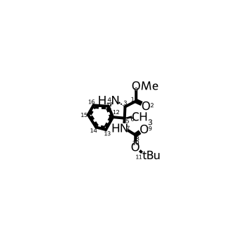 COC(=O)[C@@H](N)[C@](C)(NC(=O)OC(C)(C)C)c1ccccc1